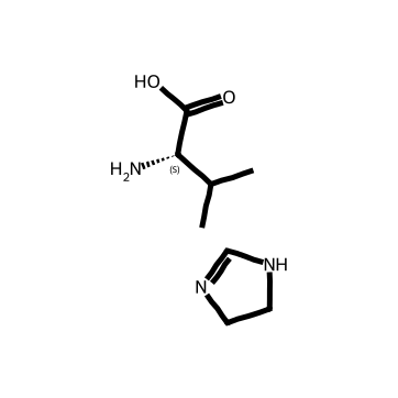 C1=NCCN1.CC(C)[C@H](N)C(=O)O